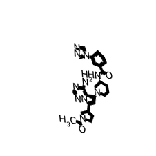 CC(=O)N1CC=C(c2cc(N3CCC[C@@H](NC(=O)c4cccc(-n5cnnc5)c4)C3)c3c(N)ncnn23)C1